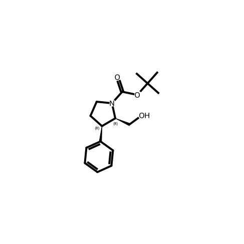 CC(C)(C)OC(=O)N1CC[C@H](c2ccccc2)[C@@H]1CO